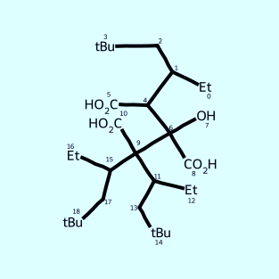 CCC(CC(C)(C)C)C(C(=O)O)C(O)(C(=O)O)C(C(=O)O)(C(CC)CC(C)(C)C)C(CC)CC(C)(C)C